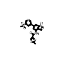 Cc1nc(C(=O)Nc2cc(-c3cncc(S(C)(=O)=O)c3)cc3[nH]ncc23)cs1